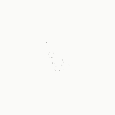 C#CCOc1ccc(C(=O)Nc2ccc3c(c2)[C@]2(CCO3)CS(=O)(=O)C(C)(C)C(=N)N2)nc1